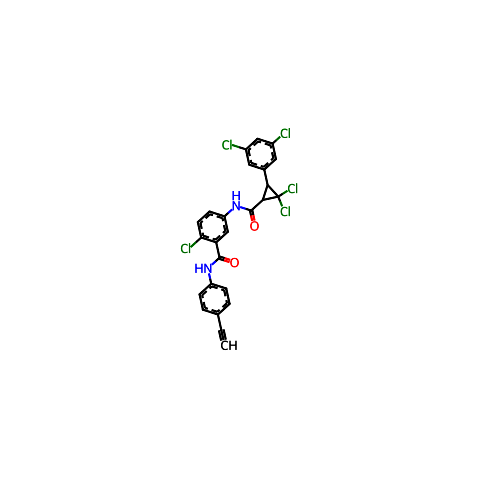 C#Cc1ccc(NC(=O)c2cc(NC(=O)C3C(c4cc(Cl)cc(Cl)c4)C3(Cl)Cl)ccc2Cl)cc1